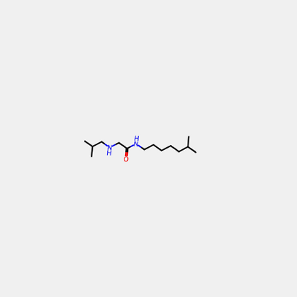 CC(C)CCCCCNC(=O)CNCC(C)C